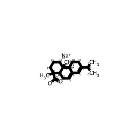 CC(C)C1=CC2=CCC3C(C)(C(=O)[O-])CCCC3(C)C2CC1.[Na+]